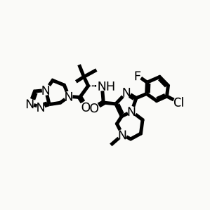 CN1CCCn2c(-c3cc(Cl)ccc3F)nc(C(=O)N[C@H](C(=O)N3CCn4cnnc4C3)C(C)(C)C)c2C1